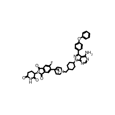 Nc1ncnc2c1c(-c1ccc(Oc3ccccc3)cc1)nn2C1CCC(CN2CC3CCC2CN3c2cc3c(cc2F)C(=O)N(C2CCC(=O)NC2=O)C3=O)CC1